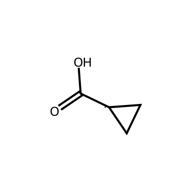 O=C(O)[C]1CC1